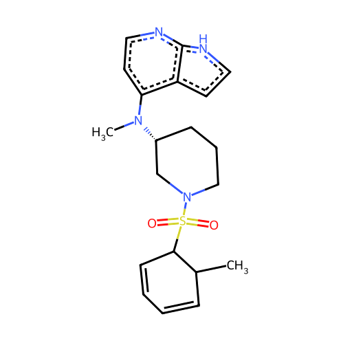 CC1C=CC=CC1S(=O)(=O)N1CCC[C@@H](N(C)c2ccnc3[nH]ccc23)C1